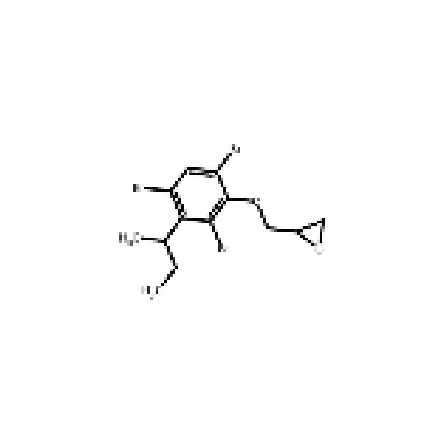 CCC(C)c1c(Br)cc(Br)c(OCC2CO2)c1Br